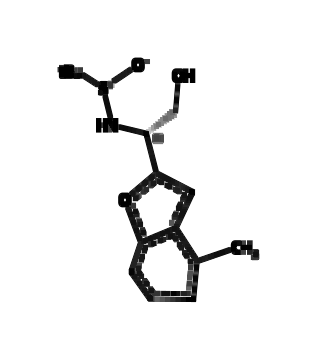 Cc1cccc2oc([C@@H](CO)N[S+]([O-])C(C)(C)C)cc12